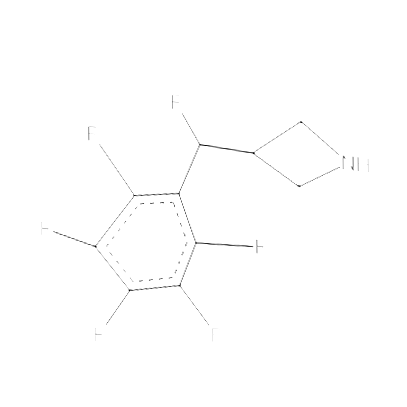 Fc1c(F)c(F)c(C(F)C2CNC2)c(F)c1F